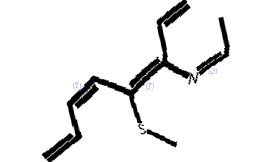 C=C\C=C/C(SC)=C(C=C)/N=C\C